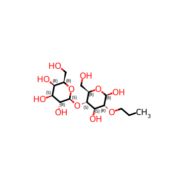 CCCO[C@@H]1[C@@H](O)[C@H](O[C@@H]2O[C@H](CO)[C@H](O)[C@H](O)[C@H]2O)[C@@H](CO)O[C@H]1O